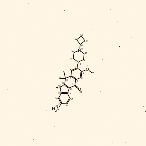 COc1cc2c(cc1N1CCN(C3CCC3)CC1)C(C)(C)c1[nH]c3cc(N)ccc3c1C2=O